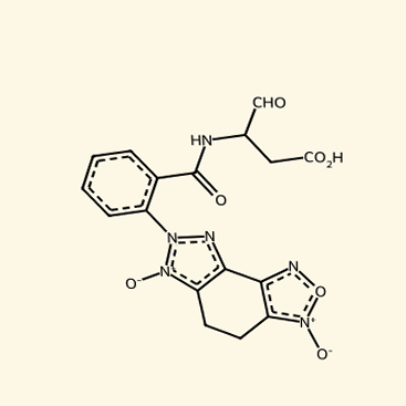 O=CC(CC(=O)O)NC(=O)c1ccccc1-n1nc2c([n+]1[O-])CCc1c-2no[n+]1[O-]